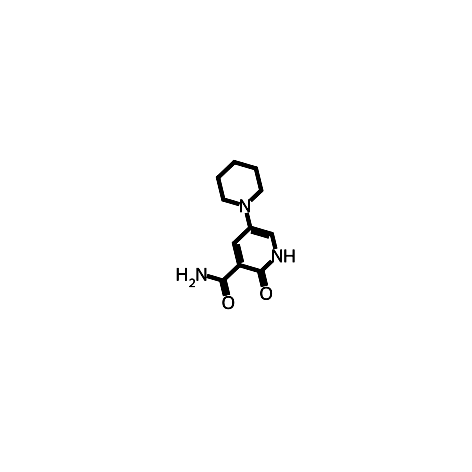 NC(=O)c1cc(N2CCCCC2)c[nH]c1=O